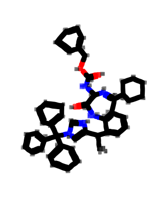 CC(c1cn(C(c2ccccc2)(c2ccccc2)c2ccccc2)cn1)c1cccc2c1NC(=O)C(NC(=O)OCc1ccccc1)N=C2C1CCCCC1